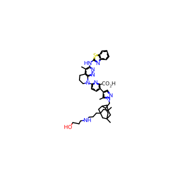 Cc1c(Nc2nc3ccccc3s2)nnc2c1CCCN2c1ccc(-c2cnn(CC3CC4(C)CC5(C)CC3CC(CCCNCCCO)(C4)C5)c2C)c(C(=O)O)n1